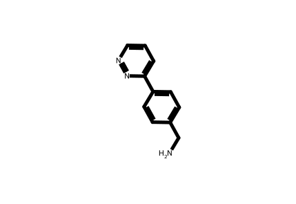 NCc1ccc(-c2cccnn2)cc1